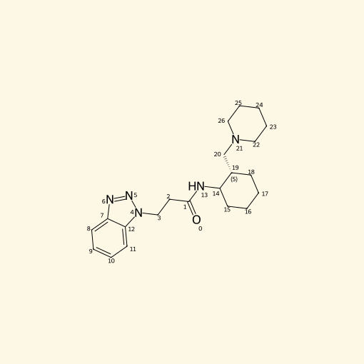 O=C(CCn1nnc2ccccc21)NC1CCCC[C@H]1CN1CCCCC1